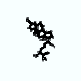 CC(=O)[C@H](C)CCCC(C)[C@H]1CCC2C3C=CC4=CC(=O)CC[C@]4(C)C3CC[C@@]21C